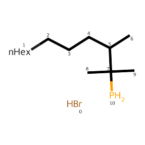 Br.CCCCCCCCCC(C)C(C)(C)P